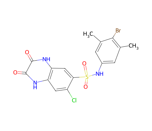 Cc1cc(NS(=O)(=O)c2cc3[nH]c(=O)c(=O)[nH]c3cc2Cl)cc(C)c1Br